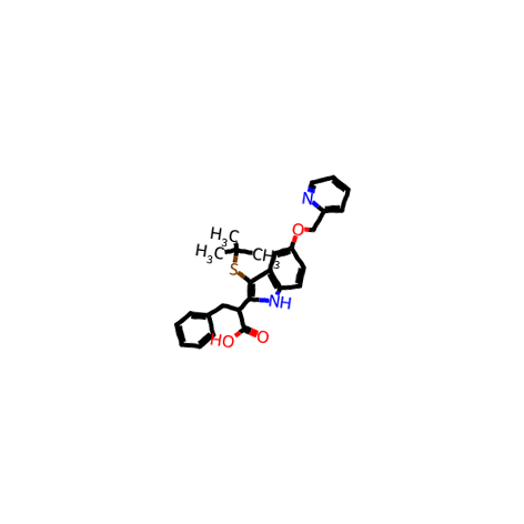 CC(C)(C)Sc1c(C(Cc2ccccc2)C(=O)O)[nH]c2ccc(OCc3ccccn3)cc12